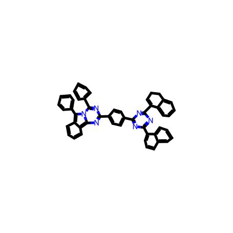 C1=C(c2nc(-c3ccc(-c4nc(-c5ccccc5)n5c(-c6ccccc6)c6ccccc6c5n4)cc3)nc(-c3cccc4ccccc34)n2)c2ccccc2CC1